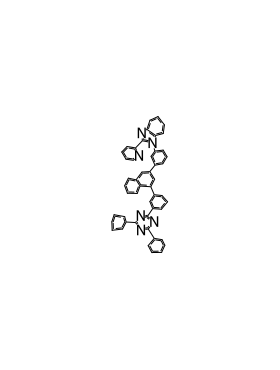 c1ccc(-c2nc(-c3ccccc3)nc(-c3cccc(-c4cc(-c5cccc(-n6c(-c7ccccn7)nc7ccccc76)c5)cc5ccccc45)c3)n2)cc1